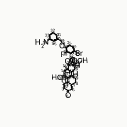 C[C@]12C=CC(=O)C=C1CC[C@@H]1[C@@H]2[C@@H](O)C[C@@]2(C)[C@H]1C[C@H]1O[C@@H](c3c(Br)ccc(OCc4cccc(N)c4)c3F)O[C@]12C(=O)CO